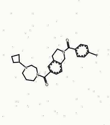 O=C(c1ccc2c(c1)CCN(C(=O)c1ccc(F)cc1)C2)N1CCCN(C2CCC2)CC1